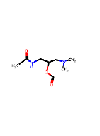 CC(=O)NCC(CN(C)C)OC=O